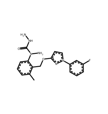 Cc1cccc(N(N)C(=O)NN)c1COc1ccn(-c2cccc(F)c2)n1